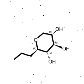 CCC[C@H]1OC[C@H](O)[C@@H](O)[C@@H]1O